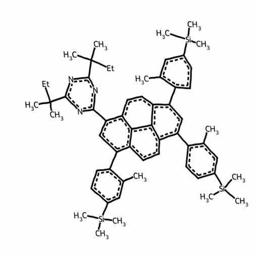 CCC(C)(C)c1nc(-c2cc(-c3ccc([Si](C)(C)C)cc3C)c3ccc4c(-c5ccc([Si](C)(C)C)cc5C)cc(-c5ccc([Si](C)(C)C)cc5C)c5ccc2c3c54)nc(C(C)(C)CC)n1